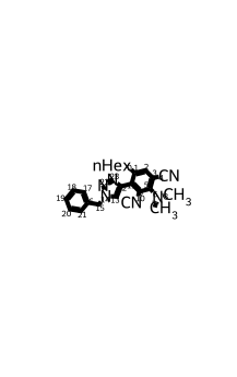 CCCCCCc1cc(C#N)c(N(C)C)c(C#N)c1-c1cn(Cc2ccccc2)nn1